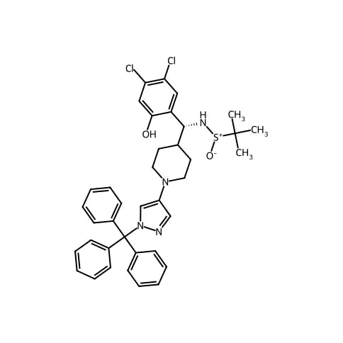 CC(C)(C)[S+]([O-])N[C@@H](c1cc(Cl)c(Cl)cc1O)C1CCN(c2cnn(C(c3ccccc3)(c3ccccc3)c3ccccc3)c2)CC1